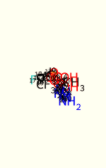 C[C@@]1(O)[C@H](O)C(O[P@]2(=O)OCC[C@H](c3ccc(F)c(C(F)(F)F)c3)O2)O[C@H]1n1cnc2c(N)ncnc21